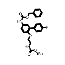 CC(C)(C)OC(=O)NCCOc1ccc(NC(=O)OCc2ccccc2)cc1-c1ccc(F)cc1